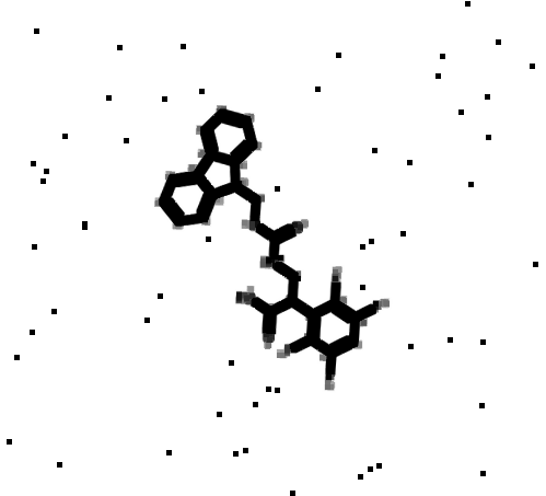 O=C(NCC(C(=O)O)c1c(F)c(F)cc(F)c1F)OCC1c2ccccc2-c2ccccc21